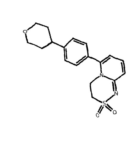 O=S1(=O)CCN2C(c3ccc(C4CCOCC4)cc3)=CC=CC2=N1